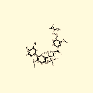 COc1cc(C(=O)NCC(O)(c2ccc(OC)c(-c3ccc(F)c(Cl)c3)n2)C(F)(F)F)ccc1OCC1(O)CC1